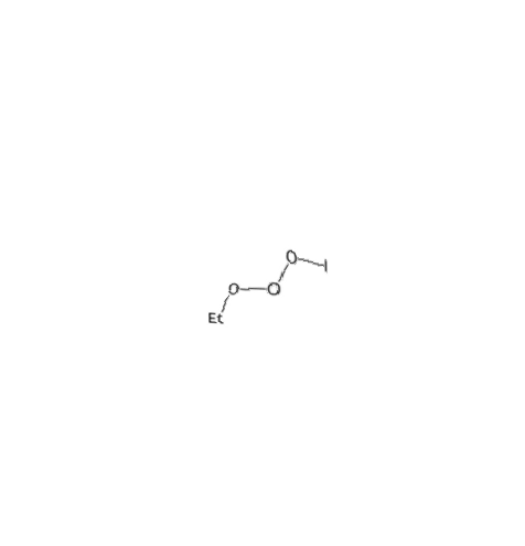 CCOOOI